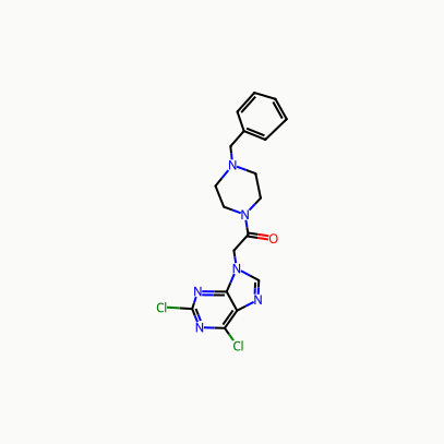 O=C(Cn1cnc2c(Cl)nc(Cl)nc21)N1CCN(Cc2ccccc2)CC1